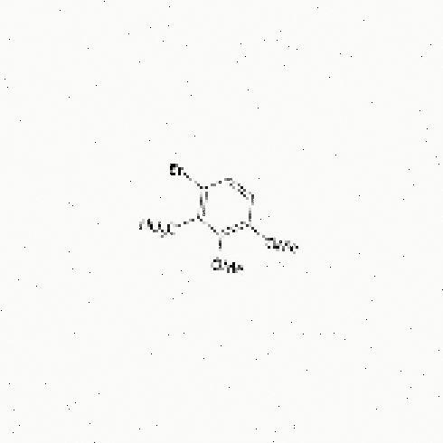 CCc1ccc(OC)c(OC)c1C(=O)O